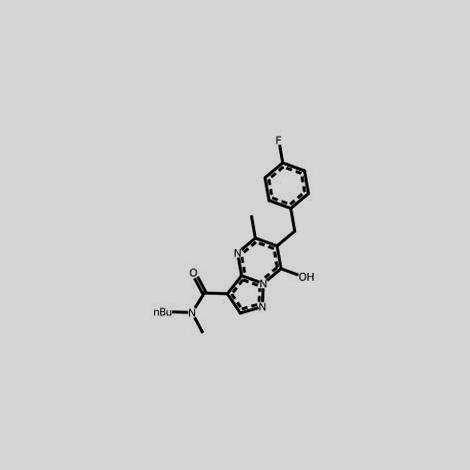 CCCCN(C)C(=O)c1cnn2c(O)c(Cc3ccc(F)cc3)c(C)nc12